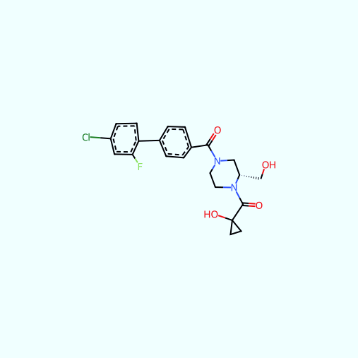 O=C(c1ccc(-c2ccc(Cl)cc2F)cc1)N1CCN(C(=O)C2(O)CC2)[C@@H](CO)C1